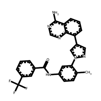 Cc1ccc(NC(=O)c2cccc(C(F)(F)F)c2)cc1-n1cc(-c2cccc3c(N)ncnc23)cn1